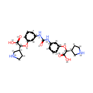 O=C(Nc1cccc(OC(C(=O)O)[C@H]2CCNC2)c1)Nc1cccc(OC(C(=O)O)[C@H]2CCNC2)c1